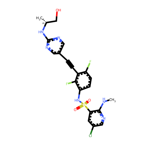 CNc1ncc(Cl)cc1S(=O)(=O)Nc1ccc(F)c(C#Cc2cnc(N[C@H](C)CO)nc2)c1F